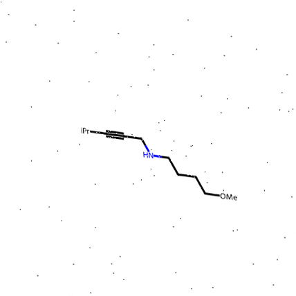 COCCCCNCC#CC(C)C